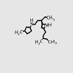 CCC(C)CCC1CC(C(CC)CCNC2CCC(C)C2)N1